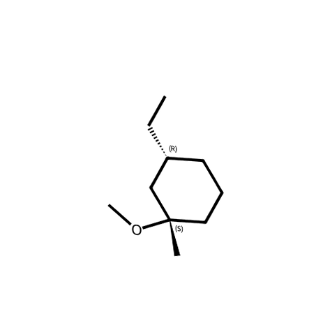 CC[C@@H]1CCC[C@](C)(OC)C1